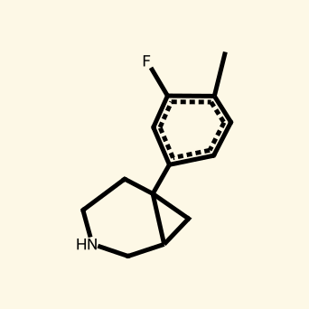 Cc1ccc(C23CCNCC2C3)cc1F